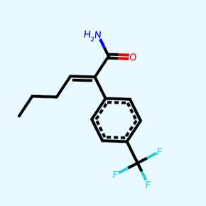 CCC/C=C(/C(N)=O)c1ccc(C(F)(F)F)cc1